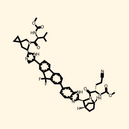 COC(=O)N[C@@H](CCC#N)C(=O)N1[C@@H]2CC[C@@H](C2)[C@H]1c1nc2ccc(-c3ccc4c(c3)C(F)(F)c3cc(-c5cnc([C@@H]6CC7(CC7)CN6C(=O)[C@@H](NC(=O)OC)C(C)C)[nH]5)ccc3-4)cc2[nH]1